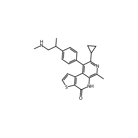 CNCC(C)c1ccc(-c2c(C3CC3)nc(C)c3[nH]c(=O)c4sccc4c23)cc1